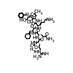 CC(=O)N[C@@H](CCCNC(=N)N)C(=O)N[C@@H](CCC(N)=O)C(=O)N[C@@H](CC1CCCCC1)C(=O)N[C@@H](/C=C/CCN)C(=O)N[C@@H](CC(C)C)C(=O)N[C@@H](Cc1ccccc1)C(=O)O